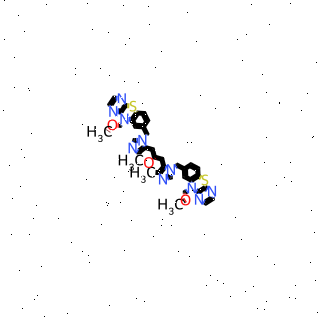 COCN1c2cc(Cn3cnc(C)c3CC(=O)Cc3c(C)ncn3Cc3ccc4c(c3)N(COC)c3nccnc3S4)ccc2Sc2nccnc21